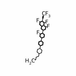 C=CCCC1CCC(c2ccc(-c3ccc(-c4cc(F)c5c(F)c(C#CC(F)(F)F)c(F)cc5c4)c(F)c3)cc2)CC1